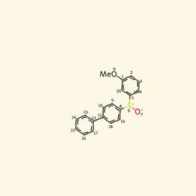 COc1cccc([S+]([O-])c2ccc(-c3ccccc3)cc2)c1